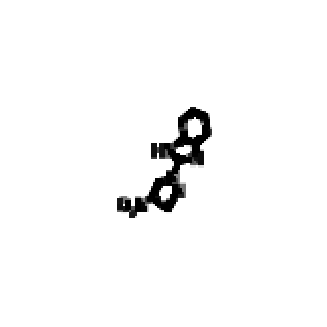 O=[N+]([O-])c1cnn(-c2nc3ccccc3[nH]2)c1